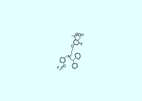 C[S+]([O-])c1cc(OCCCN(Cc2cccc(OC(F)(F)F)c2)CC(c2ccccc2)c2ccccc2)cc(F)c1CO